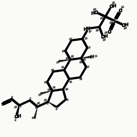 C[C@H](C[C@@H](O)C=O)[C@H]1CCC2C3CC[C@@H]4CC(NC(O)C(O)(O)S(=O)(=O)O)CC[C@]4(C)C3CC[C@@]21C